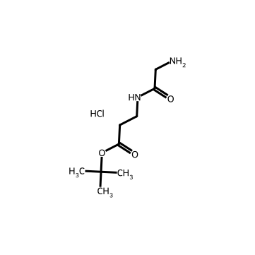 CC(C)(C)OC(=O)CCNC(=O)CN.Cl